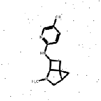 Cc1ccc(NC2CC34CC3CN(C)C24)nc1